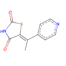 C/C(=C1/SC(=O)NC1=O)c1ccncc1